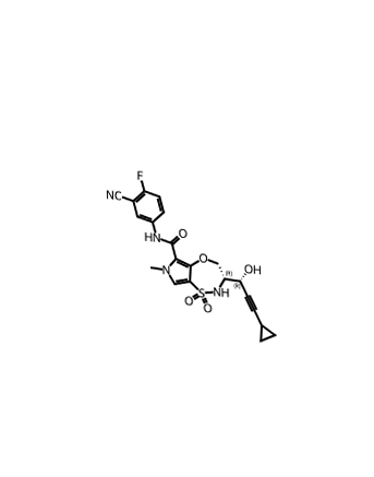 Cn1cc2c(c1C(=O)Nc1ccc(F)c(C#N)c1)OC[C@H]([C@H](O)C#CC1CC1)NS2(=O)=O